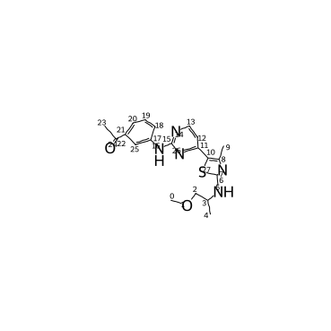 COCC(C)Nc1nc(C)c(-c2ccnc(Nc3cccc(C(C)=O)c3)n2)s1